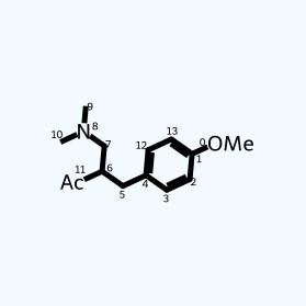 COc1ccc(CC(CN(C)C)C(C)=O)cc1